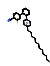 CCCCCCCCCCCCC12CCC(c3ccccc3-c3ccc(C#N)c(F)c3)(CC1)CC2